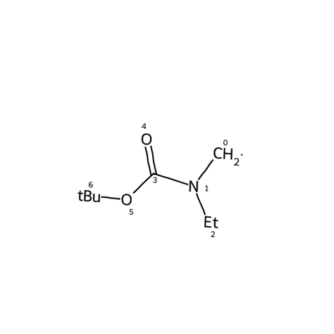 [CH2]N(CC)C(=O)OC(C)(C)C